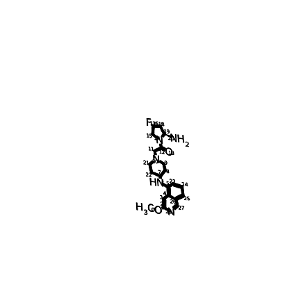 COc1cc2c(NC3CCN(CC(=O)N4C[C@@H](F)C[C@H]4N)CC3)cccc2cn1